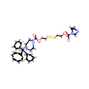 O=C(OCCSSCCOC(=O)n1ccnc1)N1CCN(C(c2ccccc2)(c2ccccc2)c2ccccc2)CC1